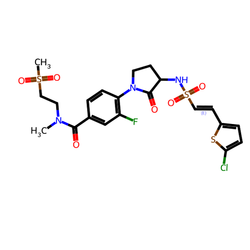 CN(CCS(C)(=O)=O)C(=O)c1ccc(N2CCC(NS(=O)(=O)/C=C/c3ccc(Cl)s3)C2=O)c(F)c1